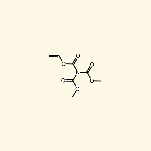 C=COC(=O)N(C(=O)OC)C(=O)OC